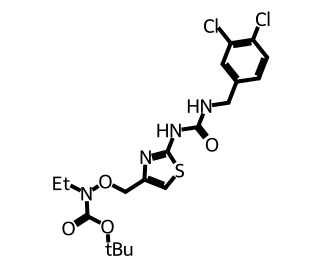 CCN(OCc1csc(NC(=O)NCc2ccc(Cl)c(Cl)c2)n1)C(=O)OC(C)(C)C